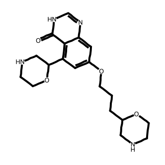 O=c1[nH]cnc2cc(OCCCC3CNCCO3)cc(C3CNCCO3)c12